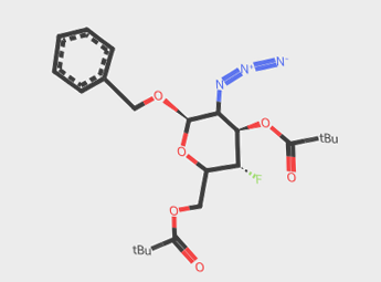 CC(C)(C)C(=O)OCC1O[C@@H](OCc2ccccc2)C(N=[N+]=[N-])[C@@H](OC(=O)C(C)(C)C)[C@@H]1F